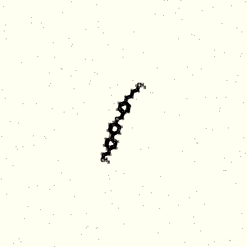 CCCCCc1ccc(COC2C=CC(c3ccc(CCC)cc3)CC2)cc1